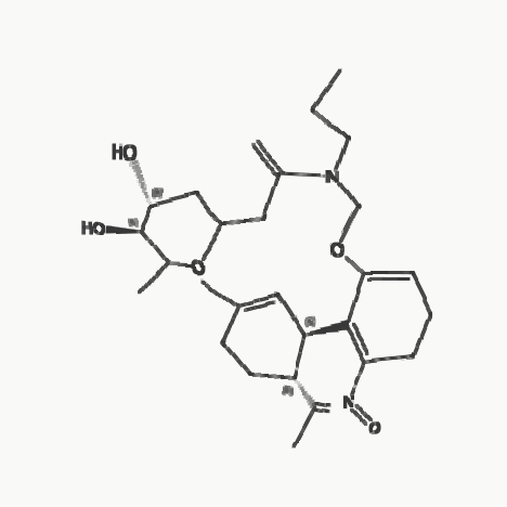 C=C(C)[C@@H]1CCC(C)=C[C@H]1C1=C(N=O)CCC=C1OCN(CCC)C(=C)CC1C[C@@H](O)[C@H](O)C(C)O1